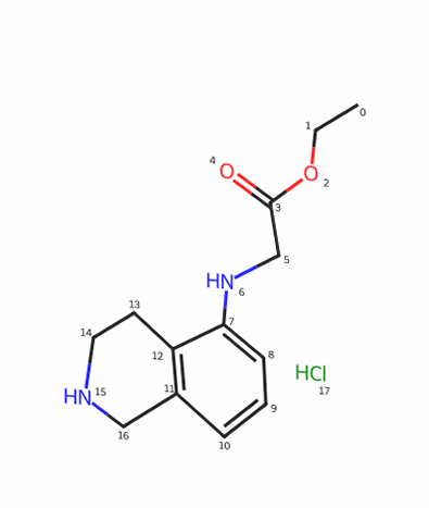 CCOC(=O)CNc1cccc2c1CCNC2.Cl